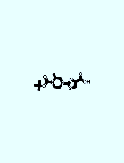 CC1CN(c2nc(C(=O)O)cs2)CCN1C(=O)OC(C)(C)C